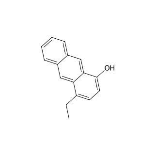 CCc1ccc(O)c2cc3ccccc3cc12